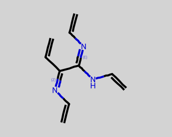 C=C/N=C(C=C)\C(=N/C=C)NC=C